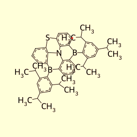 CC(C)c1cc(C(C)C)c(B2c3cccc4c3N3c5c(cccc5B(c5c(C(C)C)cc(C(C)C)cc5C(C)C)c5cccc2c53)S4)c(C(C)C)c1